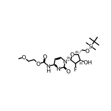 COCCOC(=O)Nc1ccn([C@@H]2O[C@H](CO[Si](C)(C)C(C)(C)C)[C@@H](O)C2F)c(=O)n1